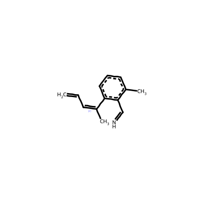 C=C/C=C(/C)c1cccc(C)c1C=N